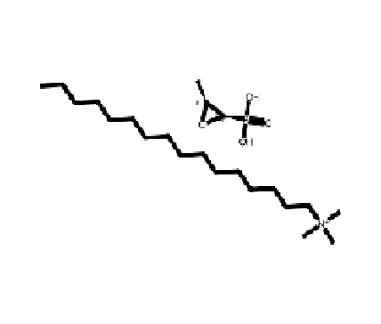 CCCCCCCCCCCCCCCC[N+](C)(C)C.C[C@@H]1O[C@@H]1P(=O)(O)O